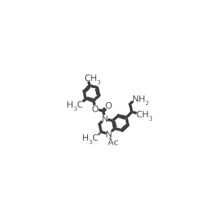 CC(=O)N1c2ccc(C(C)CN)cc2N(C(=O)Oc2ccc(C)cc2C)C[C@@H]1C